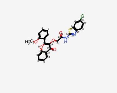 COc1ccccc1-c1oc2ccccc2c(=O)c1OCC(=O)Nc1nc2ccc(Cl)cc2s1